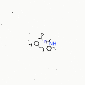 C=C(Nc1cc(C(=C)CCc2cccc(C(C)(C)C)c2)ccc1CC)/C(C)=C/CC(=C)C1CC1